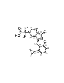 O=C(O)C(F)(F)c1cnc2c(Cl)nn(Cc3c(Cl)cccc3C3CC3)c2c1